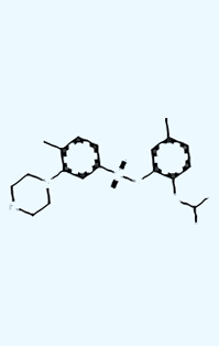 Cc1ccc(OC(F)F)c(NS(=O)(=O)c2ccc(C)c(N3CCNCC3)c2)c1